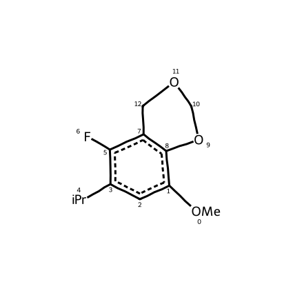 COc1cc(C(C)C)c(F)c2c1OCOC2